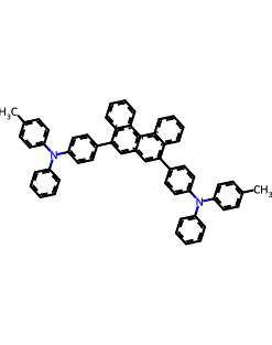 Cc1ccc(N(c2ccccc2)c2ccc(-c3cc4cc(-c5ccc(N(c6ccccc6)c6ccc(C)cc6)cc5)c5ccccc5c4c4ccccc34)cc2)cc1